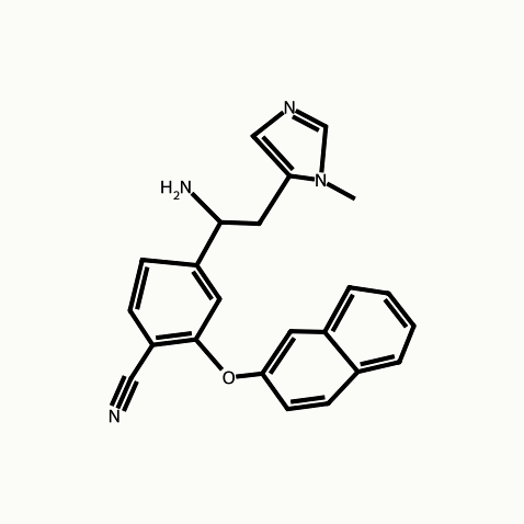 Cn1cncc1CC(N)c1ccc(C#N)c(Oc2ccc3ccccc3c2)c1